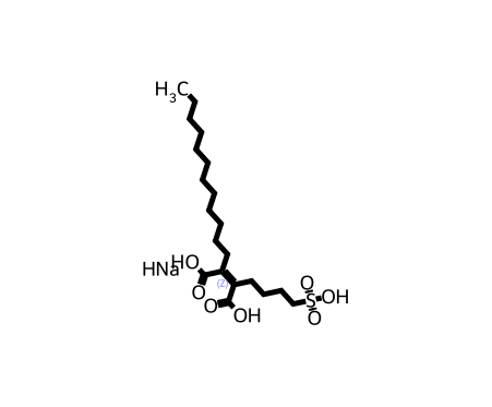 CCCCCCCCCCCC/C(C(=O)O)=C(\CCCCS(=O)(=O)O)C(=O)O.[NaH]